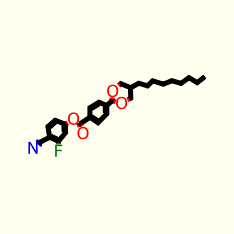 CCCCCCCCCC1COC(c2ccc(C(=O)Oc3ccc(C#N)c(F)c3)cc2)OC1